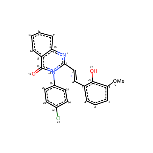 COc1cccc(/C=C/c2nc3ccccc3c(=O)n2-c2ccc(Cl)cc2)c1O